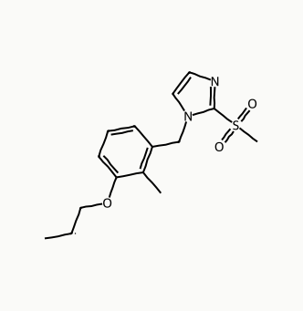 C[CH]COc1cccc(Cn2ccnc2S(C)(=O)=O)c1C